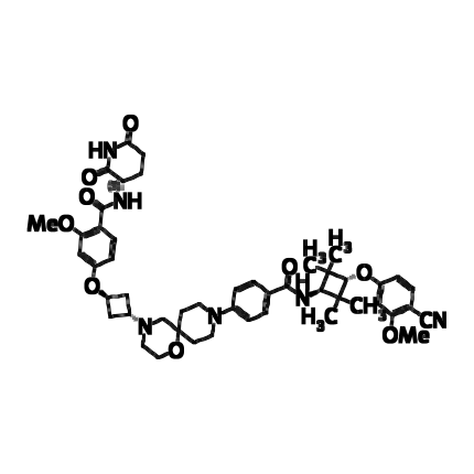 COc1cc(O[C@H]2C(C)(C)[C@H](NC(=O)c3ccc(N4CCC5(CC4)CN([C@H]4C[C@H](Oc6ccc(C(=O)N[C@H]7CCC(=O)NC7=O)c(OC)c6)C4)CCO5)cc3)C2(C)C)ccc1C#N